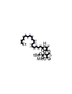 CC/C=C\C/C=C\C/C=C\C/C=C\C/C=C\CCCC(=O)N[C@@H](C)C(=O)O[C@H](C)[C@H](NC(=O)OC(C)(C)C)C(=O)OC